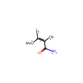 CC/C(OC)=C(\C#N)C(N)=O